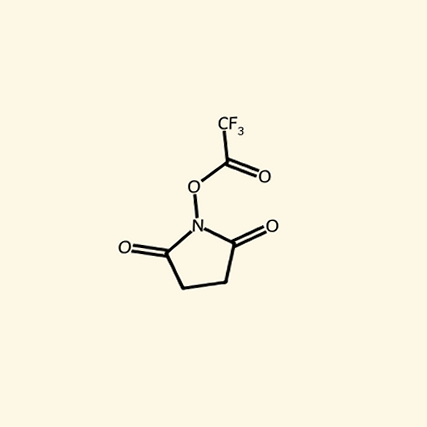 O=C1CCC(=O)N1OC(=O)C(F)(F)F